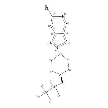 CC(C)(C)[Si](C)(C)C[C@H]1CC[C@H](n2cc3cnc(Cl)cc3n2)CC1